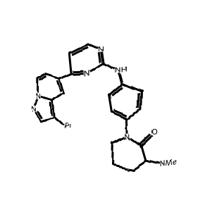 CNC1CCCN(c2ccc(Nc3nccc(-c4ccn5ncc(C(C)C)c5c4)n3)cc2)C1=O